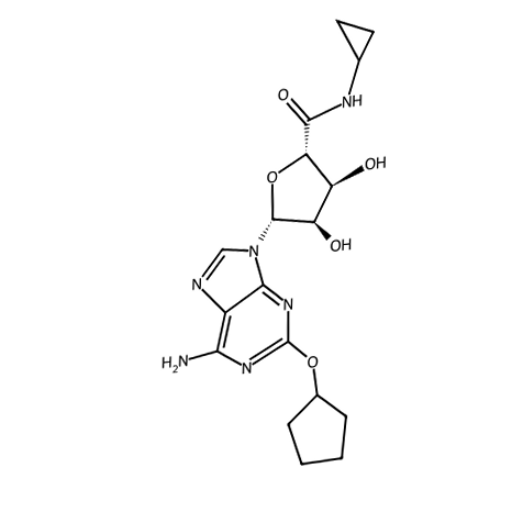 Nc1nc(OC2CCCC2)nc2c1ncn2[C@@H]1O[C@H](C(=O)NC2CC2)[C@@H](O)[C@H]1O